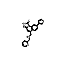 O=c1[nH]nc2cc(CNCc3ccccn3)c3ccc(-c4ccsc4)cc3n12